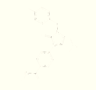 Cc1ccc(Cn2ccn(-c3ccc(C(=O)NO)cc3)c2=O)cc1.[CH3][Sn][CH3]